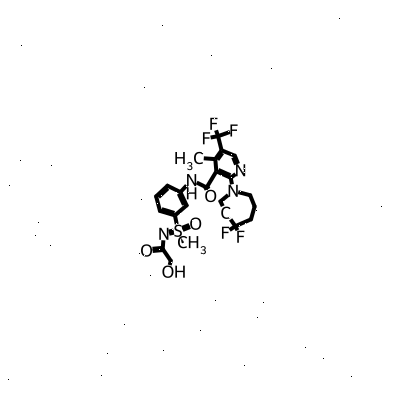 Cc1c(C(F)(F)F)cnc(N2CCCC(F)(F)CC2)c1C(=O)Nc1cccc([S@@](C)(=O)=NC(=O)CO)c1